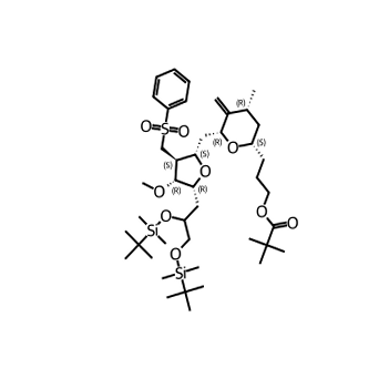 C=C1[C@H](C)C[C@H](CCCOC(=O)C(C)(C)C)O[C@@H]1C[C@@H]1O[C@H](CC(CO[Si](C)(C)C(C)(C)C)O[Si](C)(C)C(C)(C)C)[C@H](OC)[C@H]1CS(=O)(=O)c1ccccc1